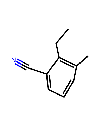 CCc1c(C)cccc1C#N